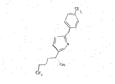 O[C@H](CCCC(F)(F)F)c1ccc(-c2ccc(C(F)(F)F)cc2)nc1